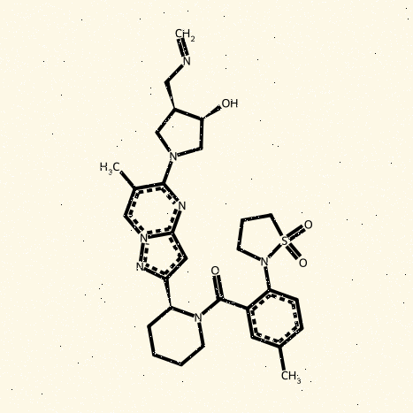 C=NC[C@@H]1CN(c2nc3cc([C@@H]4CCCCN4C(=O)c4cc(C)ccc4N4CCCS4(=O)=O)nn3cc2C)C[C@@H]1O